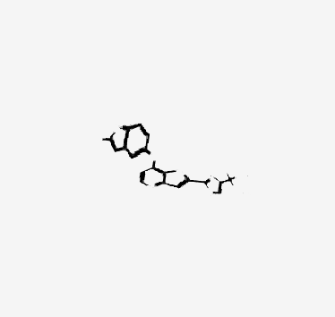 Cc1cc2cc(Oc3ccnc4cc(-c5nc(C(C)(C)O)cs5)sc34)ccc2[nH]1